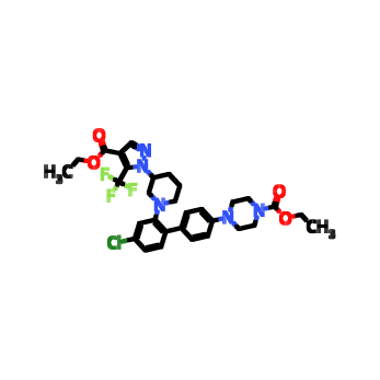 CCOC(=O)c1cnn(C2CCCN(c3cc(Cl)ccc3-c3ccc(N4CCN(C(=O)OCC)CC4)cc3)C2)c1C(F)(F)F